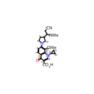 CNC(CC#N)C1CCN(c2ccc3c(=O)c(C(=O)O)cn(C4CC4)c3c2OC)C1